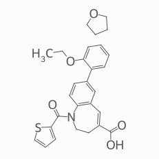 C1CCOC1.CCOc1ccccc1-c1ccc2c(c1)C=C(C(=O)O)CCN2C(=O)c1cccs1